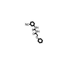 N#Cc1cccc(NC(=S)NC(=O)COc2ccccc2)c1